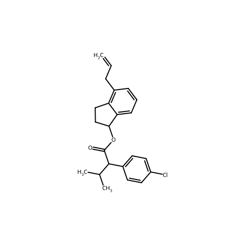 C=CCc1cccc2c1CCC2OC(=O)C(c1ccc(Cl)cc1)C(C)C